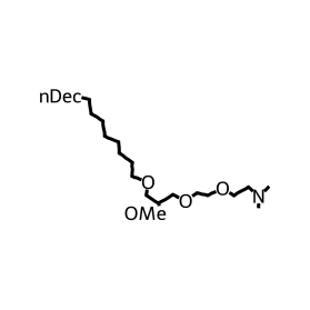 CCCCCCCCCCCCCCCCCCOCC(COCCOCCN(C)C)OC